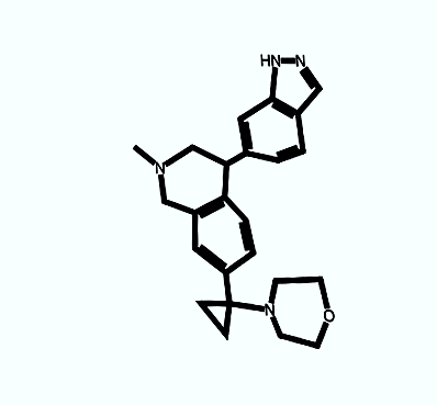 CN1Cc2cc(C3(N4CCOCC4)CC3)ccc2C(c2ccc3cn[nH]c3c2)C1